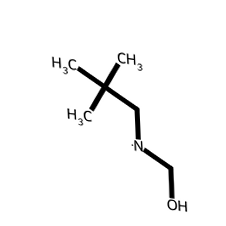 CC(C)(C)C[N]CO